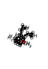 COc1c(O)c2c(=O)cc(OC)c3c4c(OC)cc(=O)c5c(NCCOC(=O)N6CC(=O)NC(=O)C6)c(NCCOC(=O)N6CC(=O)NC(=O)C6)c6c(c(c1C(C(C)=O)C(C)=C6)c23)c54